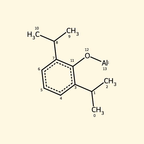 CC(C)c1cccc(C(C)C)c1[O][Al]